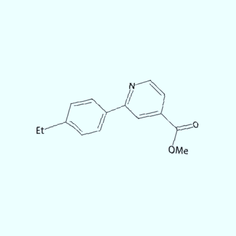 CCc1ccc(-c2cc(C(=O)OC)ccn2)cc1